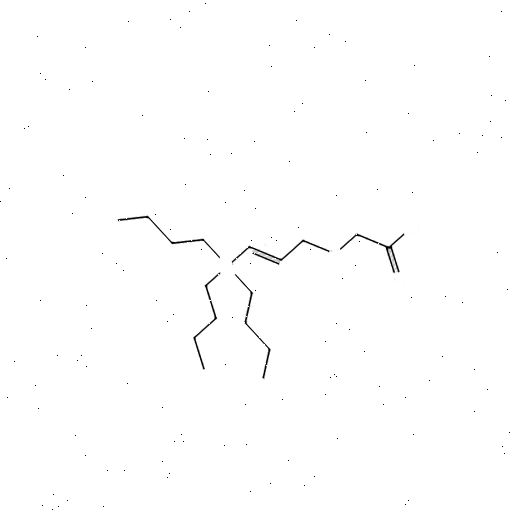 CCC[CH2][Sn](/[CH]=C/CSCC(=O)O)([CH2]CCC)[CH2]CCC